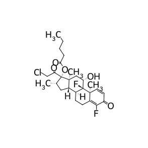 CCCCC(=O)O[C@@]1(C(=O)CCl)[C@@H](C)C[C@H]2[C@@H]3CCC4=C(F)C(=O)C=C[C@]4(C)[C@@]3(F)[C@@H](O)C[C@@]21C